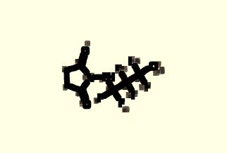 O=C1CCC(=O)N1PC(F)(F)C(F)(F)C(F)(F)C(F)(F)F